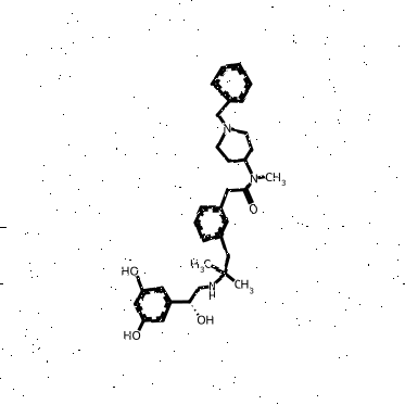 CN(C(=O)Cc1cccc(CC(C)(C)NC[C@H](O)c2cc(O)cc(O)c2)c1)C1CCN(Cc2ccccc2)CC1